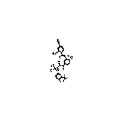 Cc1cc(C#N)ccc1C(=O)Nc1cc(NC(=O)[C@H]2[C@H](c3ccc(F)c(C(F)(F)F)c3)C2(Cl)Cl)ccc1Cl